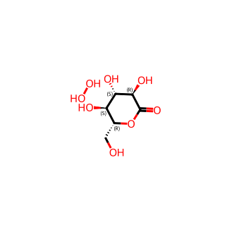 O=C1O[C@H](CO)[C@@H](O)[C@H](O)[C@H]1O.OO